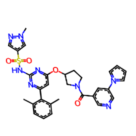 Cc1cccc(C)c1-c1cc(OC2CCN(C(=O)c3cncc(-n4cccc4)c3)C2)nc(NS(=O)(=O)c2cnn(C)c2)n1